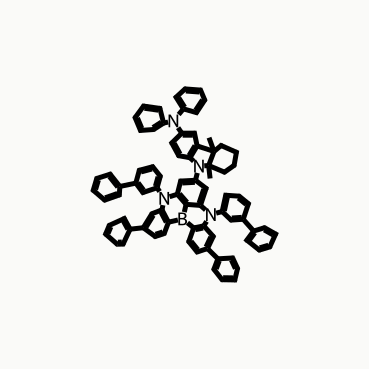 CC12CCCCC1(C)N(c1cc3c4c(c1)N(c1cccc(-c5ccccc5)c1)c1cc(-c5ccccc5)ccc1B4c1ccc(-c4ccccc4)cc1N3c1cccc(-c3ccccc3)c1)c1ccc(N(c3ccccc3)c3ccccc3)cc12